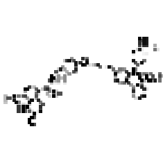 NC1CCC(N(C(=O)O)c2cc(CCCCOc3ccc(CNC[C@@H](O)c4ccc(O)c5[nH]c(=O)ccc45)cc3)ccc2-c2ccccc2)CC1